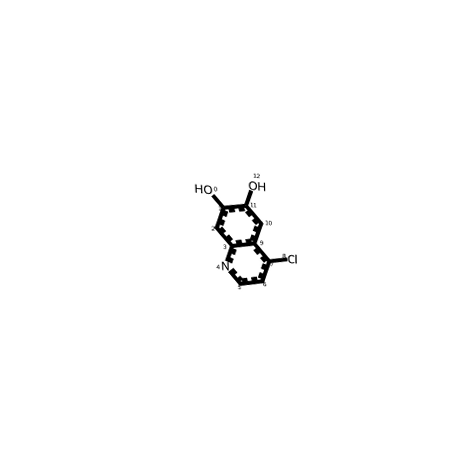 Oc1cc2nccc(Cl)c2cc1O